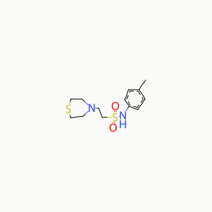 Cc1ccc(NS(=O)(=O)CCN2CCSCC2)cc1